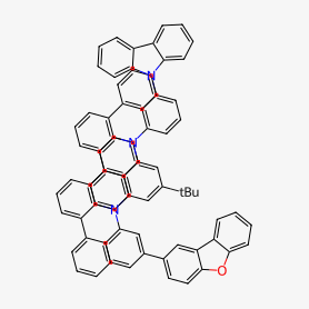 CC(C)(C)c1cc(N(c2cccc(-c3ccc4oc5ccccc5c4c3)c2)c2c(-c3ccccc3)cccc2-c2ccccc2)cc(N(c2cccc(-n3c4ccccc4c4ccccc43)c2)c2c(-c3ccccc3)cccc2-c2ccccc2)c1